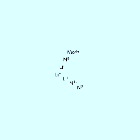 [Li+].[Li+].[Li+].[Mo+6].[N-3].[N-3].[N-3]